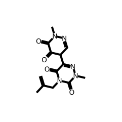 C=C(C)Cn1c(=O)c(C2C=NN(C)C(=O)C2=O)nn(C)c1=O